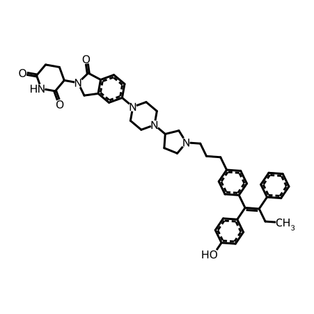 CCC(=C(c1ccc(O)cc1)c1ccc(CCCN2CCC(N3CCN(c4ccc5c(c4)CN(C4CCC(=O)NC4=O)C5=O)CC3)C2)cc1)c1ccccc1